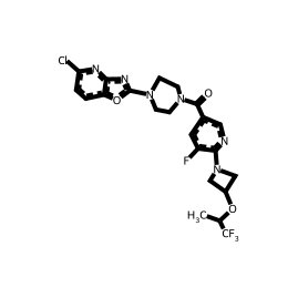 CC(OC1CN(c2ncc(C(=O)N3CCN(c4nc5nc(Cl)ccc5o4)CC3)cc2F)C1)C(F)(F)F